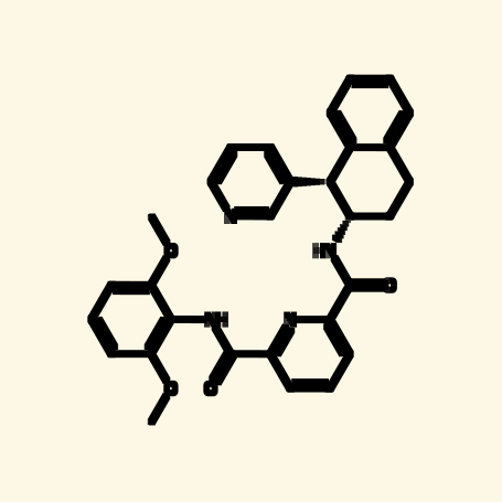 COc1cccc(OC)c1NC(=O)c1cccc(C(=O)N[C@H]2CCc3ccccc3[C@H]2c2cccnc2)n1